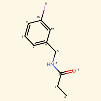 CCC(=O)NCc1cccc(I)c1